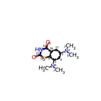 CN(C)c1cc(N(C)C)c2sc(=O)[nH]c(=O)c2c1